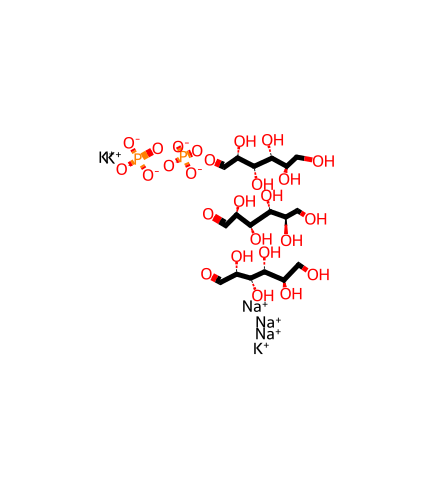 O=C[C@H](O)[C@@H](O)[C@H](O)[C@H](O)CO.O=C[C@H](O)[C@@H](O)[C@H](O)[C@H](O)CO.O=C[C@H](O)[C@@H](O)[C@H](O)[C@H](O)CO.O=P([O-])([O-])[O-].O=P([O-])([O-])[O-].[K+].[K+].[K+].[Na+].[Na+].[Na+]